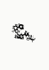 O=C(Nc1cncc(-c2cc3c(-c4nc5c(-c6ccncc6)cccc5[nH]4)n[nH]c3cn2)c1)C1CC1